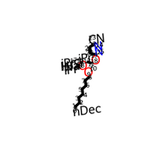 CCCCCCCCCCCCCCCCCCOC[C@H](CO[Si](C(C)C)(C(C)C)C(C)C)Oc1ccc(C#N)nn1.[H-].[Na+]